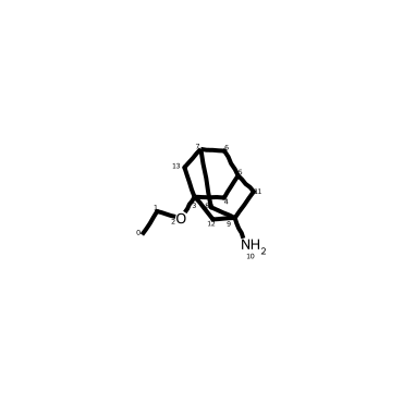 CCOC12CC3CC(CC(N)(C3)C1)C2